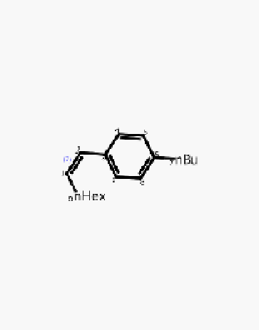 CCCCCC/C=[C]\c1ccc(CCCC)cc1